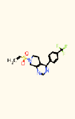 C=CS(=O)(=O)N1CCc2c(ncnc2-c2ccc(C(F)(F)F)cc2)C1